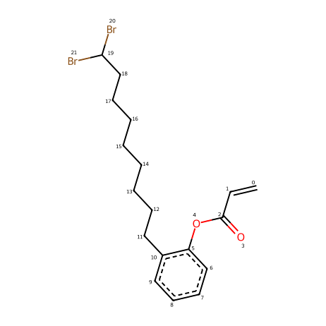 C=CC(=O)Oc1ccccc1CCCCCCCCC(Br)Br